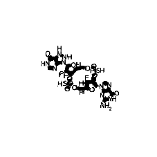 Nc1nc2c(ncn2[C@@H]2O[C@@H]3COP(=O)(S)O[C@H]4[C@H](F)[C@H](N5NNc6c5nc[nH]c6=O)O[C@@H]4COP(=O)(S)O[C@@H]2[C@H]3F)c(=O)[nH]1